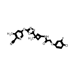 Cc1cc(Oc2nnc(C3(C)C=C(NC(=O)COc4ccc(Cl)c(F)c4)C3)o2)cnc1C#N